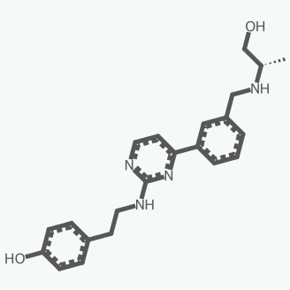 C[C@@H](CO)NCc1cccc(-c2ccnc(NCCc3ccc(O)cc3)n2)c1